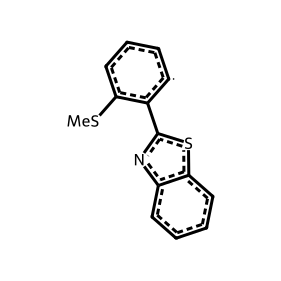 CSc1ccc[c]c1-c1nc2ccccc2s1